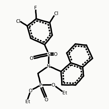 CCOP(=O)(CN(c1cccc2ccccc12)S(=O)(=O)c1cc(Cl)c(F)c(Cl)c1)OCC